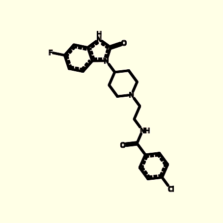 O=C(NCCN1CCC(n2c(=O)[nH]c3cc(F)ccc32)CC1)c1ccc(Cl)cc1